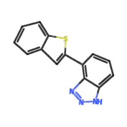 c1ccc2sc(-c3cccc4[nH]nnc34)cc2c1